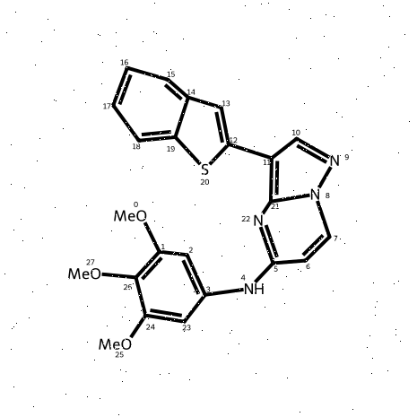 COc1cc(Nc2ccn3ncc(-c4cc5ccccc5s4)c3n2)cc(OC)c1OC